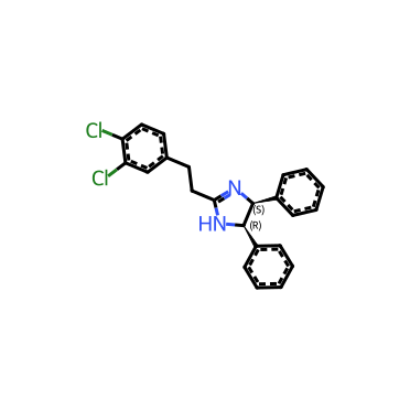 Clc1ccc(CCC2=N[C@@H](c3ccccc3)[C@@H](c3ccccc3)N2)cc1Cl